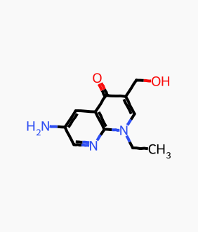 CCn1cc(CO)c(=O)c2cc(N)cnc21